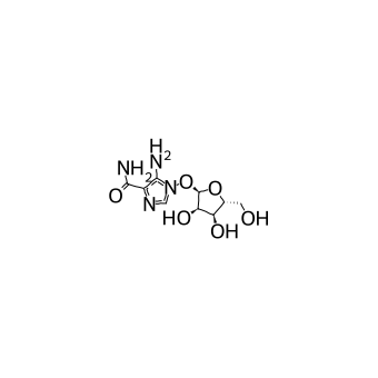 NC(=O)c1ncn(O[C@H]2O[C@H](CO)[C@@H](O)[C@H]2O)c1N